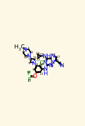 CN1CCN(C2CN(c3cc(OC(F)F)cc(Nc4nc(NC5CC5)c5ncc(C#N)n5n4)c3Cl)C2)CC1